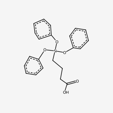 O=C(O)CCC[Si](Oc1ccccc1)(Oc1ccccc1)Oc1ccccc1